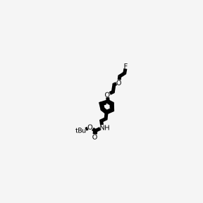 CC(C)(C)OC(=O)NCCc1ccc(OCCOCCF)cc1